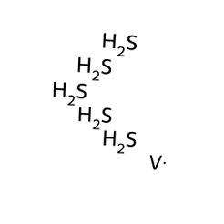 S.S.S.S.S.[V]